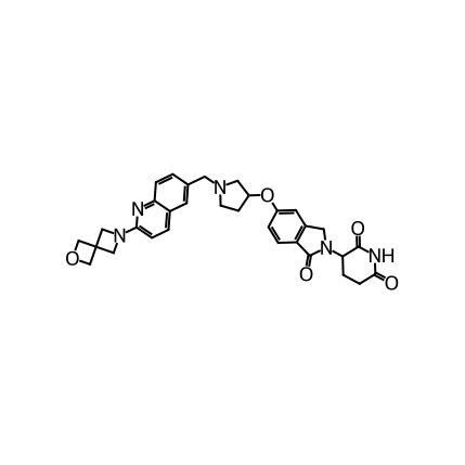 O=C1CCC(N2Cc3cc(OC4CCN(Cc5ccc6nc(N7CC8(COC8)C7)ccc6c5)C4)ccc3C2=O)C(=O)N1